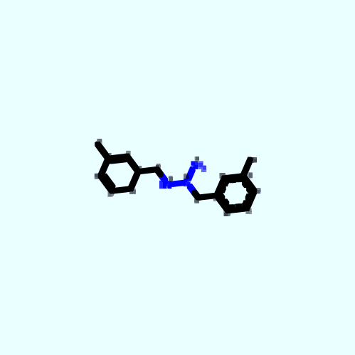 CC1=CC(CNN(N)Cc2cccc(C)c2)CC=C1